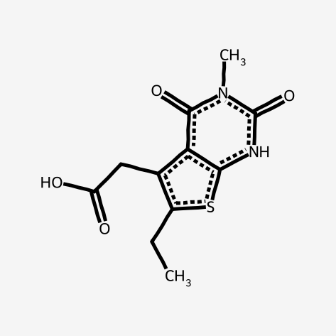 CCc1sc2[nH]c(=O)n(C)c(=O)c2c1CC(=O)O